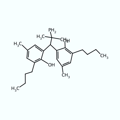 CCCCc1cc(C)cc(C(c2cc(C)cc(CCCC)c2O)C(C)(C)P)c1O